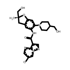 C[C@]1(CO)Cc2cc(NC(=O)c3cnn4cc(Cl)cnc34)c(N3CCC(CO)CC3)cc2O1